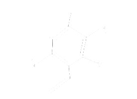 C=Cc1c(Br)cc(S(=O)(=O)O)c(Br)c1Br